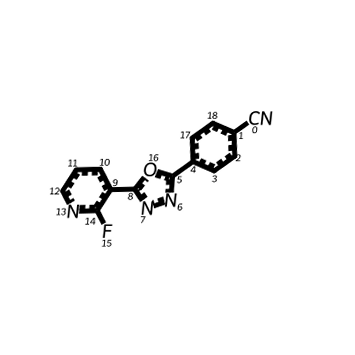 N#Cc1ccc(-c2nnc(-c3cccnc3F)o2)cc1